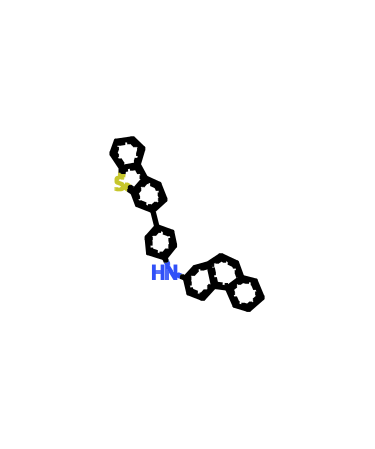 c1ccc2c(c1)ccc1cc(Nc3ccc(-c4ccc5c(c4)sc4ccccc45)cc3)ccc12